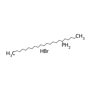 Br.CCCCCCCCCCCCCCCCC(P)CCCCC